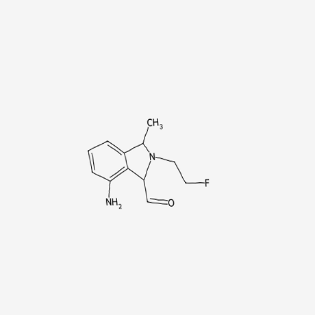 CC1c2cccc(N)c2C(C=O)N1CCF